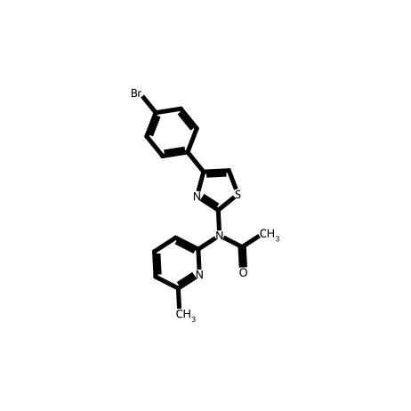 CC(=O)N(c1cccc(C)n1)c1nc(-c2ccc(Br)cc2)cs1